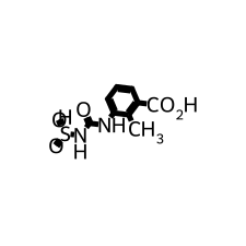 Cc1c(NC(=O)N[SH](=O)=O)cccc1C(=O)O